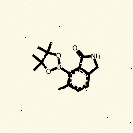 Cc1ccc2c(c1B1OC(C)(C)C(C)(C)O1)C(=O)NC2